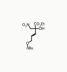 CCCCOC/C=C/C(O)(C[N+](=O)[O-])C(=O)OCC